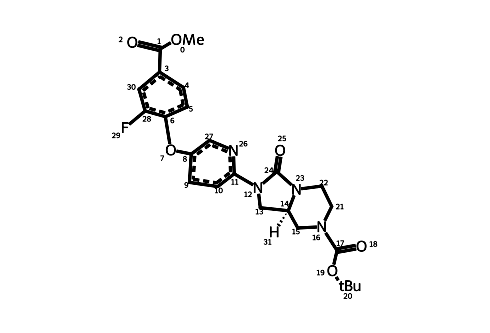 COC(=O)c1ccc(Oc2ccc(N3C[C@@H]4CN(C(=O)OC(C)(C)C)CCN4C3=O)nc2)c(F)c1